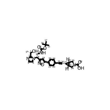 C[C@H](O)c1nccn1[C@H](CNC(=O)OC(C)(C)C)c1cc(-c2ccc(C#C[C@@H]3[C@H]4CN(C(=O)O)C[C@@H]34)cc2)on1